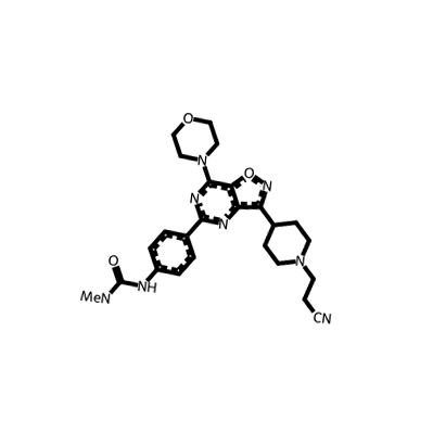 CNC(=O)Nc1ccc(-c2nc(N3CCOCC3)c3onc(C4CCN(CCC#N)CC4)c3n2)cc1